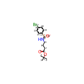 CC(C)(C)OC(=O)CCCN[S+]([O-])c1ccc(Br)cc1